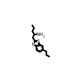 CCCc1ccc2nc(CC(N)CCC)sc2c1